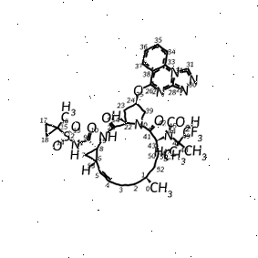 C[C@H]1CC/C=C\[C@@H]2C[C@@]2(C(=O)NS(=O)(=O)C2(C)CC2)NC(=O)[C@@H]2C[C@@H](Oc3nc4nncn4c4ccccc34)CN2C(=O)[C@@H](N(C(=O)O)C(C)(C)C(F)(F)F)[C@H](C)C1